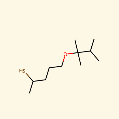 CC(S)CCCOC(C)(C)C(C)C